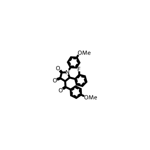 COc1ccc(C(=O)C2C(=O)C(=O)N(c3ccc(OC)cc3)C2c2ccccc2F)cc1